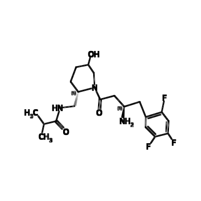 CC(C)C(=O)NC[C@@H]1CCC(O)CN1C(=O)C[C@H](N)Cc1cc(F)c(F)cc1F